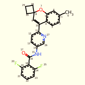 Cc1ccc2c(c1)OC1(C=C2c2ccc(NC(=O)c3c(F)cccc3F)cn2)CCC1